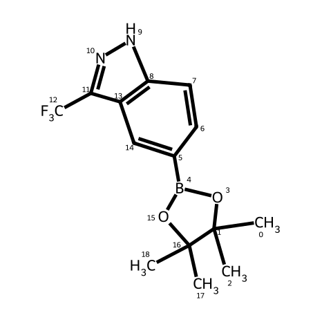 CC1(C)OB(c2ccc3[nH]nc(C(F)(F)F)c3c2)OC1(C)C